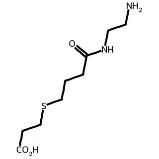 NCCNC(=O)CCCSCCC(=O)O